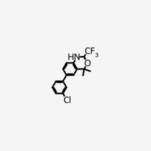 CC1(C)O[C](C(F)(F)F)Nc2ccc(-c3cccc(Cl)c3)cc21